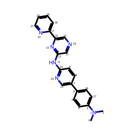 CN(C)c1ccc(-c2ccc(Nc3cncc(-c4ccccn4)n3)nc2)cc1